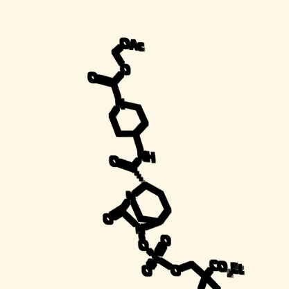 CCOC(=O)C(C)(C)COS(=O)(=O)ON1C(=O)N2CC1CC[C@H]2C(=O)NC1CCN(C(=O)OCOC(C)=O)CC1